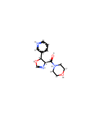 O=C([C@H]1N=COC1c1cccnc1)N1CCOCC1